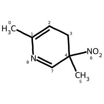 CC1=CCC(C)([N+](=O)[O-])C=N1